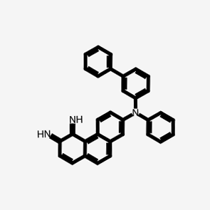 N=C1C=Cc2ccc3cc(N(c4ccccc4)c4cccc(-c5ccccc5)c4)ccc3c2C1=N